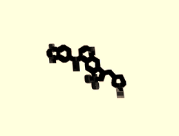 O=S1(=O)C=C(CC2CCNC2)c2cc3nccc(Nc4ccc5scnc5c4)c3cc21